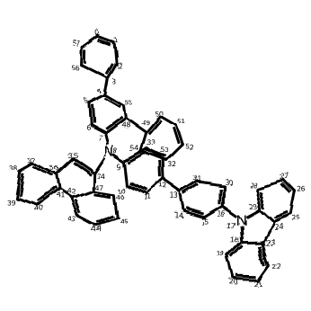 c1ccc(-c2ccc(N(c3ccc(-c4ccc(-n5c6ccccc6c6ccccc65)cc4)cc3)c3cc4ccccc4c4ccccc34)c(-c3ccccc3)c2)cc1